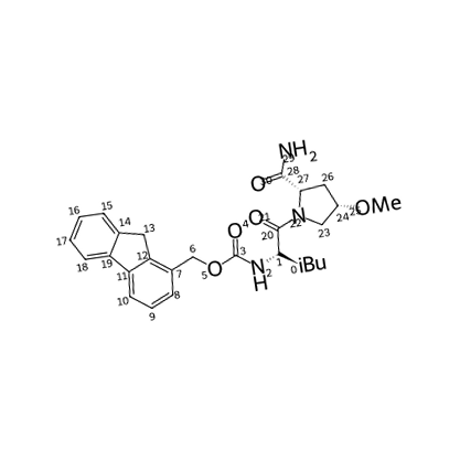 CC[C@H](C)[C@H](NC(=O)OCc1cccc2c1Cc1ccccc1-2)C(=O)N1C[C@@H](OC)C[C@H]1C(N)=O